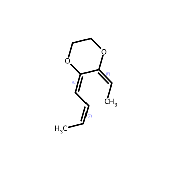 C\C=C/C=C1/OCCO/C1=C/C